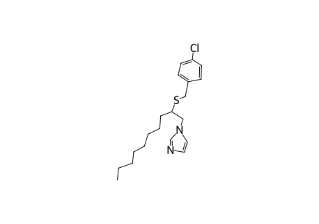 CCCCCCCCC(Cn1ccnc1)SCc1ccc(Cl)cc1